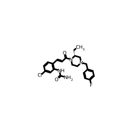 CC[C@@H]1CN(Cc2ccc(F)cc2)CCN1C(=O)/C=C/c1ccc(Cl)cc1NC(N)=O